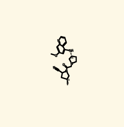 COc1cc(N[C@@H]2CCN(CC(=O)N3C[C@@H](F)CC3C#N)C2)c2cccnc2c1